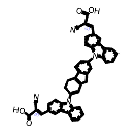 N#C/C(=C\c1ccc2c(c1)c1ccccc1n2C1=CC2=C(CC1)c1ccc(-n3c4ccccc4c4cc(/C=C(\C#N)C(=O)O)ccc43)cc1C2)C(=O)O